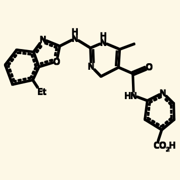 CCc1cccc2nc(NC3=NCC(C(=O)Nc4cc(C(=O)O)ccn4)=C(C)N3)oc12